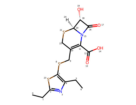 CCc1nc(CC)c(SCC2=C(C(=O)O)N3C(=O)[C@@H](O)[C@@H]3SC2)s1